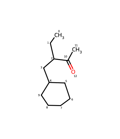 CCC(CC1CCCCC1)C(C)=O